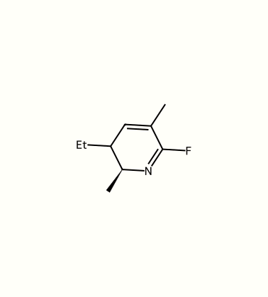 CCC1C=C(C)C(F)=N[C@H]1C